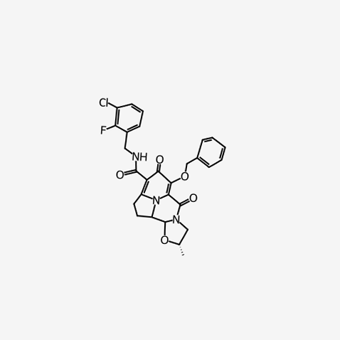 C[C@H]1CN2C(=O)c3c(OCc4ccccc4)c(=O)c(C(=O)NCc4cccc(Cl)c4F)c4n3C(CC4)C2O1